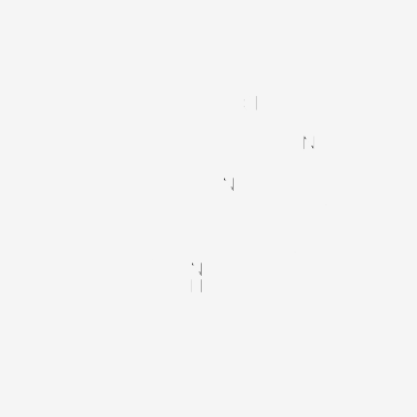 Cc1cc(NC(C)(C)CC(C)(C)C)nc(Cl)n1